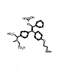 CCC(=C(c1ccc(OCCNC)cc1)c1ccc(C(C(=O)O)N(C)CC(=O)O)cc1)c1ccccc1.OBO